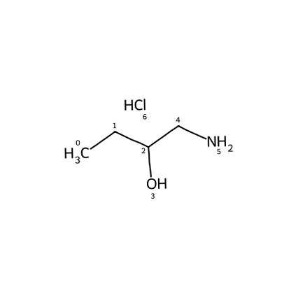 CCC(O)CN.Cl